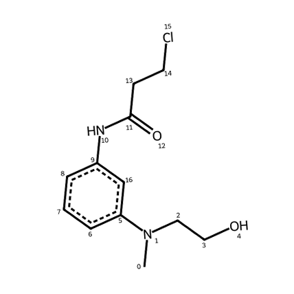 CN(CCO)c1cccc(NC(=O)CCCl)c1